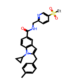 CCS(=O)(=O)c1ccc(CNC(=O)c2ccc3c(c2)cc(Cc2ccc(C)cc2)n3C2CC2)nc1